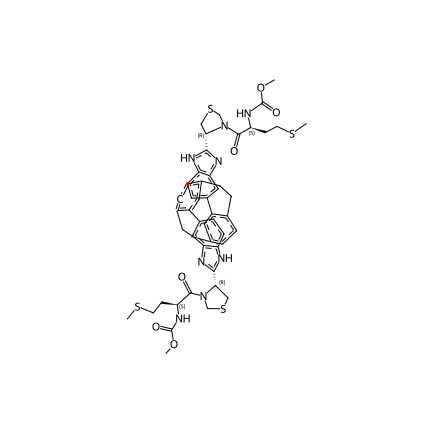 COC(=O)N[C@@H](CCSC)C(=O)N1CSC[C@H]1c1nc2cc(-c3cc4ccc3CCc3ccc(c(-c5ccc6[nH]c([C@@H]7CSCN7C(=O)[C@H](CCSC)NC(=O)OC)nc6c5)c3)CC4)ccc2[nH]1